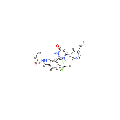 C#Cc1cncc(-c2cc(=O)[nH]c(-c3cc(CNC(=O)C(C)C)ccc3C(F)(F)F)n2)c1